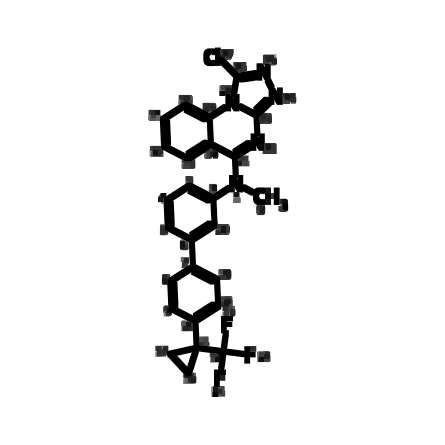 CN(c1cccc(-c2ccc(C3(C(F)(F)F)CC3)cc2)c1)c1nc2nnc(Cl)n2c2ccccc12